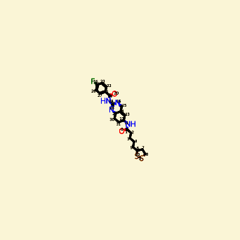 O=C(CCCCC1CCSS1)NC1C=C2C=NC(NC(=O)c3ccc(F)cc3)=NC2CC1